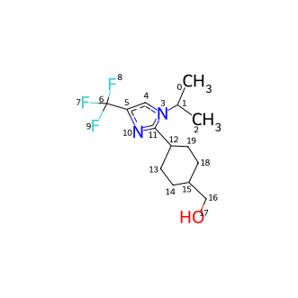 CC(C)n1cc(C(F)(F)F)nc1C1CCC(CO)CC1